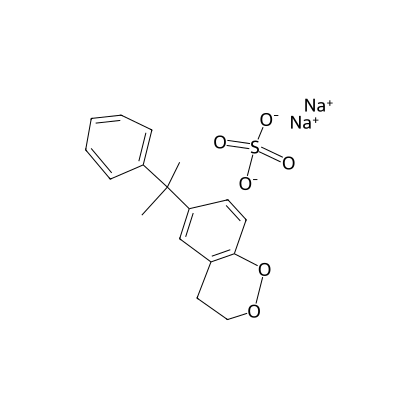 CC(C)(c1ccccc1)c1ccc2c(c1)CCOO2.O=S(=O)([O-])[O-].[Na+].[Na+]